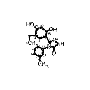 CCc1cc(-c2n[nH]c(=O)n2-c2cccc(C)c2)c(O)cc1O